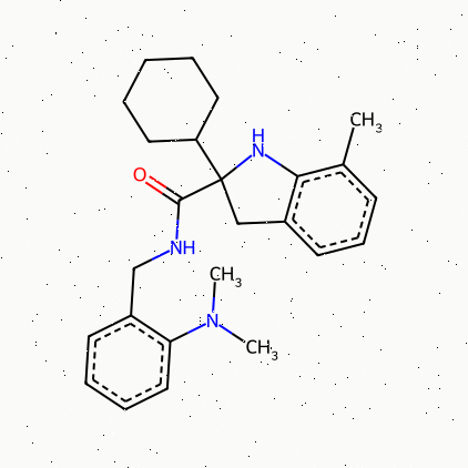 Cc1cccc2c1NC(C(=O)NCc1ccccc1N(C)C)(C1CCCCC1)C2